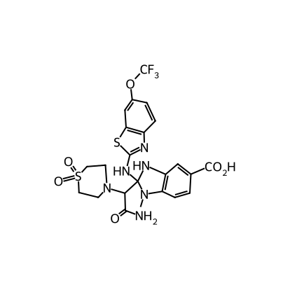 CN1c2ccc(C(=O)O)cc2NC1(Nc1nc2ccc(OC(F)(F)F)cc2s1)C(C(N)=O)N1CCS(=O)(=O)CC1